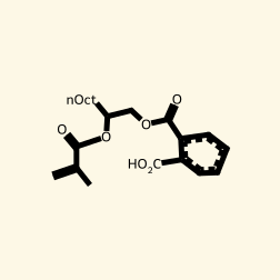 C=C(C)C(=O)OC(CCCCCCCC)COC(=O)c1ccccc1C(=O)O